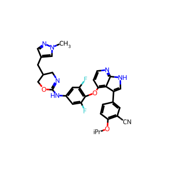 CC(C)Oc1ccc(-c2c[nH]c3nccc(Oc4c(F)cc(NC5=NCC(Cc6cnn(C)c6)CO5)cc4F)c23)cc1C#N